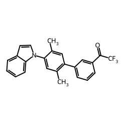 Cc1cc(-n2ccc3ccccc32)c(C)cc1-c1cccc(C(=O)C(F)(F)F)c1